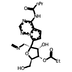 C=NC[C@@]1(c2ccc3c(NC(=O)CCC)ncnn23)O[C@H](CO)[C@@H](OC(=O)CC)[C@H]1O